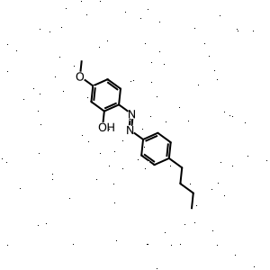 CCCCc1ccc(N=Nc2ccc(OC)cc2O)cc1